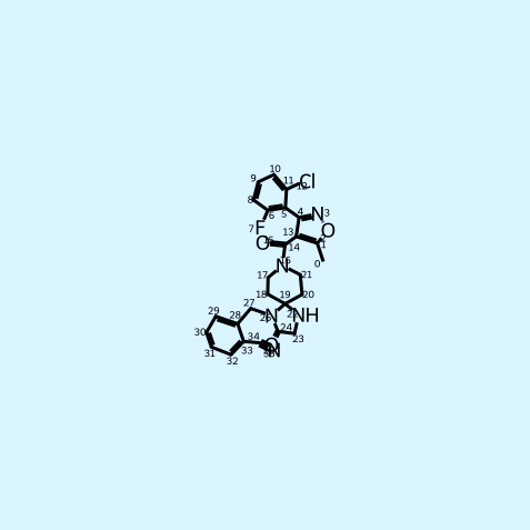 Cc1onc(-c2c(F)cccc2Cl)c1C(=O)N1CCC2(CC1)NCC(=O)N2Cc1ccccc1C#N